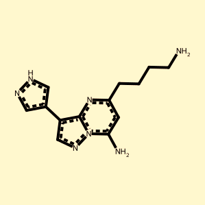 NCCCCc1cc(N)n2ncc(-c3cn[nH]c3)c2n1